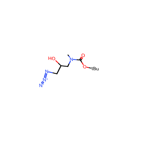 CN(CC(O)CN=[N+]=[N-])C(=O)OC(C)(C)C